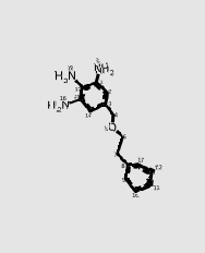 Nc1cc(COCCc2ccccc2)cc(N)c1N